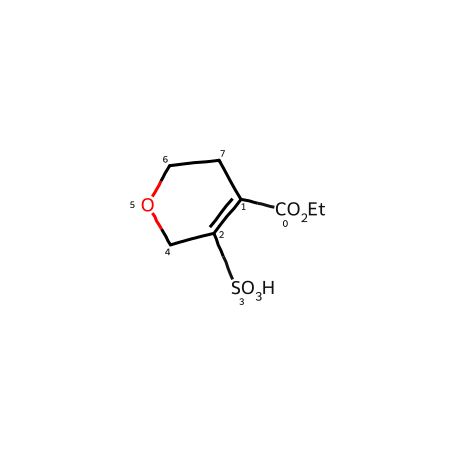 CCOC(=O)C1=C(S(=O)(=O)O)COCC1